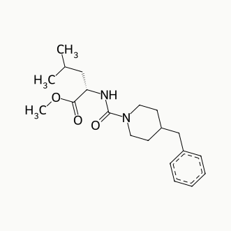 COC(=O)[C@H](CC(C)C)NC(=O)N1CCC(Cc2ccccc2)CC1